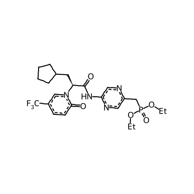 CCOP(=O)(Cc1cnc(NC(=O)[C@H](CC2CCCC2)n2cc(C(F)(F)F)ccc2=O)cn1)OCC